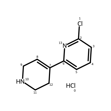 Cl.Clc1cccc(C2=CCNCC2)n1